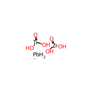 [O]=[Ti]([OH])[OH].[O]=[Zr]([OH])[OH].[PbH2]